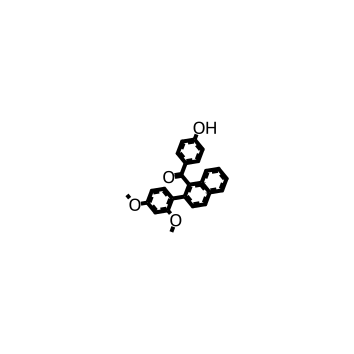 COc1ccc(-c2ccc3ccccc3c2C(=O)c2ccc(O)cc2)c(OC)c1